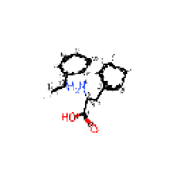 N[C@@H](Cc1ccccc1)C(=O)O.[C]Cc1ccccc1